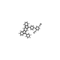 N#Cc1ccc(C#N)c(-c2ccc(-n3c4ccccc4c4cc5c6ccccc6n(-c6ccccc6)c5cc43)cc2)c1